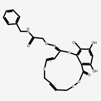 O=C(CO/N=C1\C=C\CC/C=C/CCOC(=O)c2c(O)cc(O)c(Cl)c2C1)NCc1ccccc1